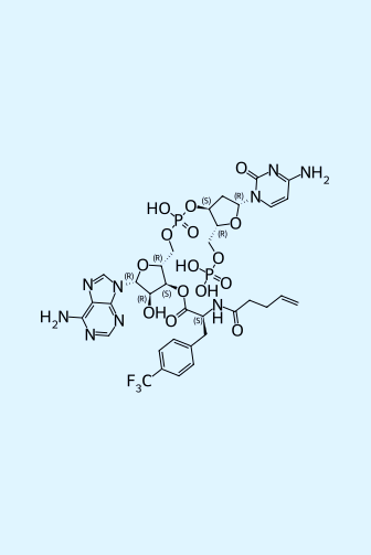 C=CCCC(=O)N[C@@H](Cc1ccc(C(F)(F)F)cc1)C(=O)O[C@H]1[C@@H](O)[C@H](n2cnc3c(N)ncnc32)O[C@@H]1COP(=O)(O)O[C@H]1C[C@H](n2ccc(N)nc2=O)O[C@@H]1COP(=O)(O)O